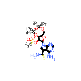 CC(C)[Si]1(C(C)C)OCC2OC(n3cc(C(N)=S)c4c(N)ncnc43)C(OS(=O)(=O)C(F)(F)F)C2O[Si](C(C)C)(C(C)C)O1